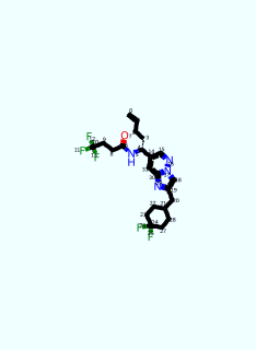 C=CCC[C@@H](NC(=O)CCC(F)(F)F)c1cnn2cc(CC3CCC(F)(F)CC3)nc2c1